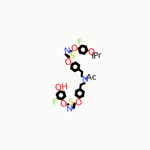 CC(=O)N(CCc1ccc(Oc2cnc(Oc3ccc(O)cc3F)s2)cc1)CCc1ccc(Oc2cnc(Oc3ccc(OC(C)C)cc3F)s2)cc1